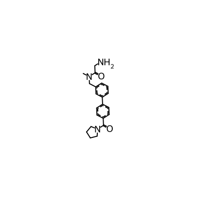 CN(Cc1cccc(-c2ccc(C(=O)N3CCCC3)cc2)c1)C(=O)CN